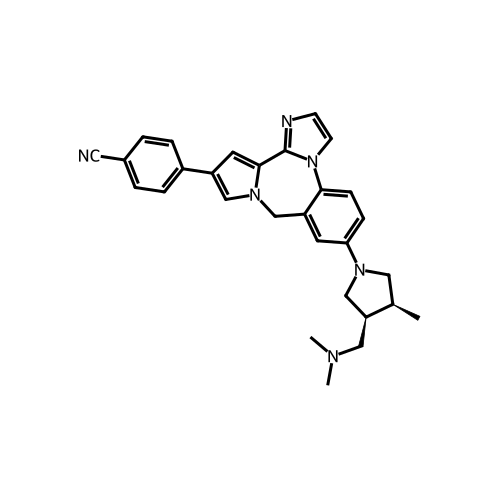 C[C@@H]1CN(c2ccc3c(c2)Cn2cc(-c4ccc(C#N)cc4)cc2-c2nccn2-3)C[C@@H]1CN(C)C